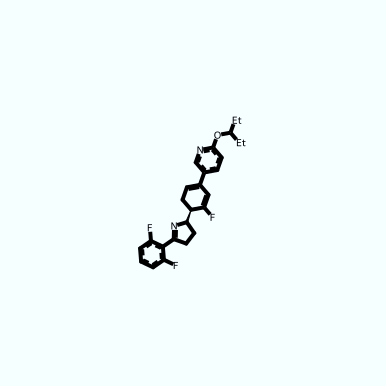 CCC(CC)Oc1ccc(C2=CC[C@H](C3CCC(c4c(F)cccc4F)=N3)C(F)=C2)cn1